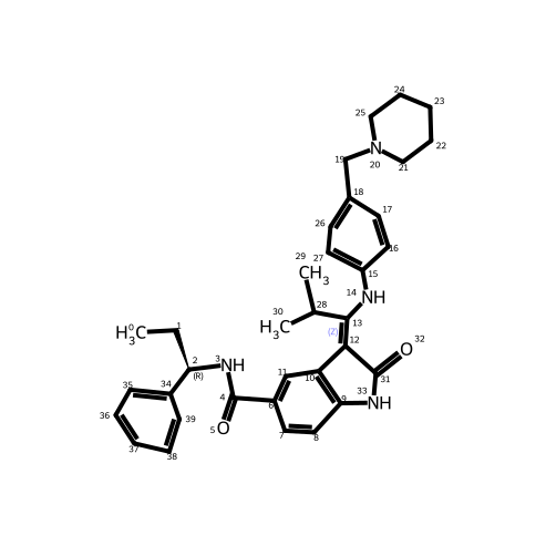 CC[C@@H](NC(=O)c1ccc2c(c1)/C(=C(/Nc1ccc(CN3CCCCC3)cc1)C(C)C)C(=O)N2)c1ccccc1